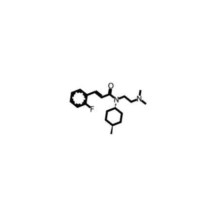 CN(C)CCN(C(=O)/C=C/c1ccccc1F)[C@H]1CC[C@H](C)CC1